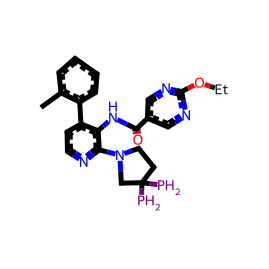 CCOc1ncc(C(=O)Nc2c(-c3ccccc3C)ccnc2N2CCC(P)(P)C2)cn1